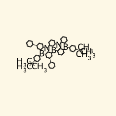 CC(C)(C)c1ccc(B2c3ccccc3N3c4cccc5c4B(c4cccc2c43)c2cc(-c3ccccc3)cc3c2N5c2ccc(-c4ccccc4)cc2B3c2ccc(C(C)(C)C)cc2)cc1